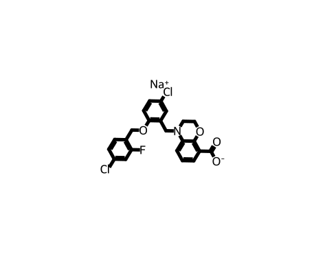 O=C([O-])c1cccc2c1OCCN2Cc1cc(Cl)ccc1OCc1ccc(Cl)cc1F.[Na+]